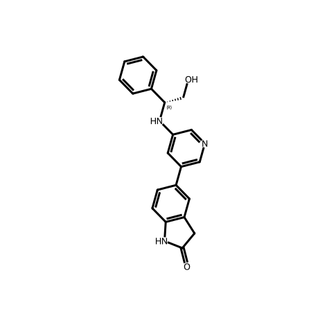 O=C1Cc2cc(-c3cncc(N[C@@H](CO)c4ccccc4)c3)ccc2N1